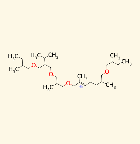 CCC(C)COCC(C)CC/C=C(\C)COCC(C)COCC(COCC(C)CC)C(C)C